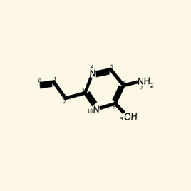 C=CCc1ncc(N)c(O)n1